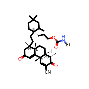 CCNC(=O)OCCC[C@]1(CC[C@]2(C)CC(=O)C=C3[C@@]4(C)C=C(C#N)C(=O)[C@@H](C)[C@@H]4CC[C@]32C)CCC(C)(C)CC1C